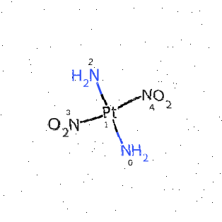 [NH2][Pt]([NH2])([N+](=O)[O-])[N+](=O)[O-]